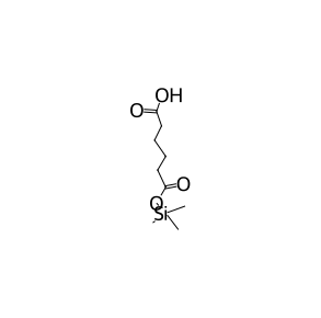 C[Si](C)(C)OC(=O)CCCCC(=O)O